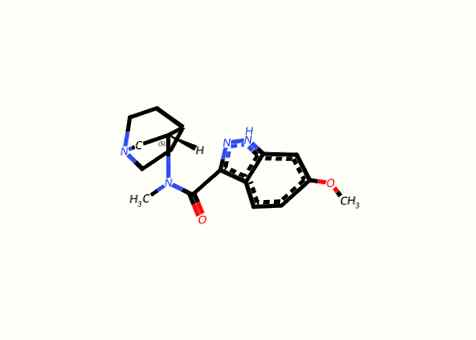 COc1ccc2c(C(=O)N(C)[C@@H]3CN4CCC3CC4)n[nH]c2c1